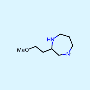 COCCC1C[N]CCCN1